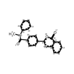 CN(C(=O)c1ccc(-c2nc3ccccc3c(=O)o2)cc1)c1ccccc1